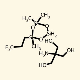 C[Si]1(C)O[SiH2]O[Si](C)(CCC(F)(F)F)O1.NC(CO)(CO)CO